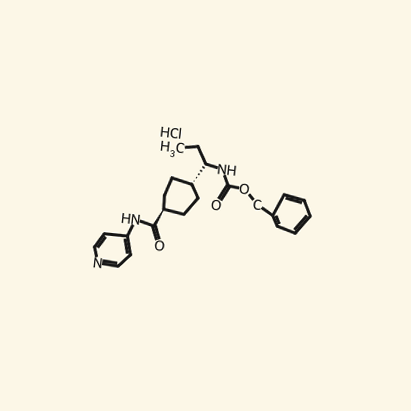 CCC(NC(=O)OCc1ccccc1)[C@H]1CC[C@H](C(=O)Nc2ccncc2)CC1.Cl